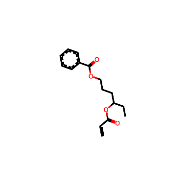 C=CC(=O)OC(CC)CCCOC(=O)c1ccccc1